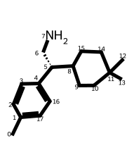 Cc1ccc([C@H](CN)C2CCC(C)(C)CC2)cc1